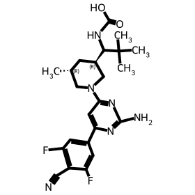 C[C@@H]1C[C@@H](C(NC(=O)O)C(C)(C)C)CN(c2cc(-c3cc(F)c(C#N)c(F)c3)nc(N)n2)C1